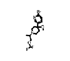 COC1(c2ccc(Br)nc2)CCN(C(C)COC(F)F)CC1